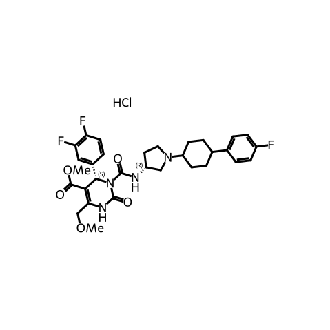 COCC1=C(C(=O)OC)[C@H](c2ccc(F)c(F)c2)N(C(=O)N[C@@H]2CCN(C3CCC(c4ccc(F)cc4)CC3)C2)C(=O)N1.Cl